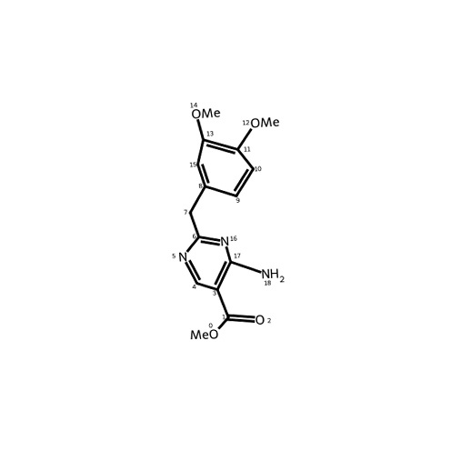 COC(=O)c1cnc(Cc2ccc(OC)c(OC)c2)nc1N